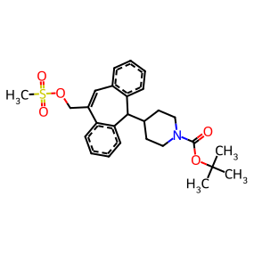 CC(C)(C)OC(=O)N1CCC(C2c3ccccc3C=C(COS(C)(=O)=O)c3ccccc32)CC1